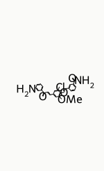 COc1cc(/C=C/C(=O)c2cccc(N)c2)cc(Cl)c1OCc1cccc(C(N)=O)c1